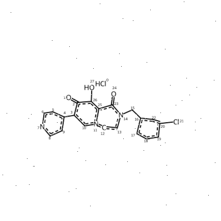 Cl.O=c1c(-c2ccncc2)cn2ccn(Cc3cccc(Cl)c3)c(=O)c2c1O